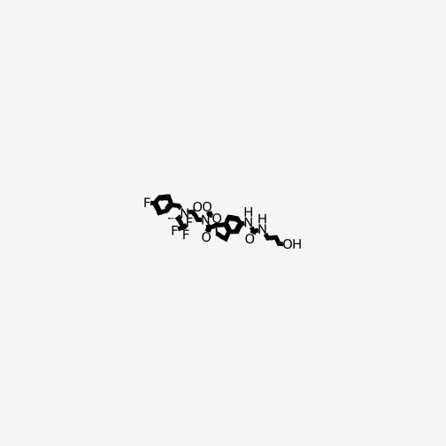 C[C@H](N(Cc1ccc(F)cc1)C(=O)CN1C(=O)O[C@@]2(CCc3cc(NC(=O)NCCCO)ccc32)C1=O)C(F)(F)F